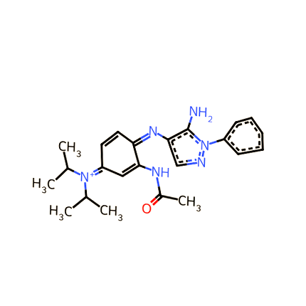 CC(=O)NC1=CC(=[N+](C(C)C)C(C)C)C=C/C1=N/c1cnn(-c2ccccc2)c1N